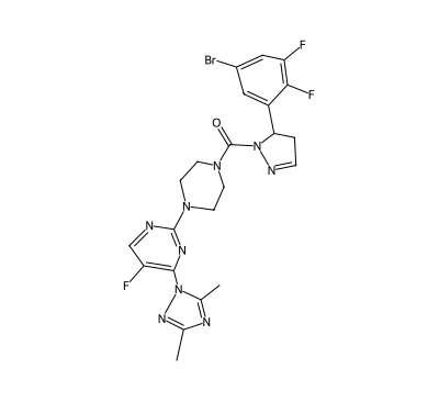 Cc1nc(C)n(-c2nc(N3CCN(C(=O)N4N=CCC4c4cc(Br)cc(F)c4F)CC3)ncc2F)n1